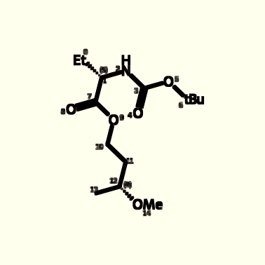 CC[C@H](NC(=O)OC(C)(C)C)C(=O)OCC[C@@H](C)OC